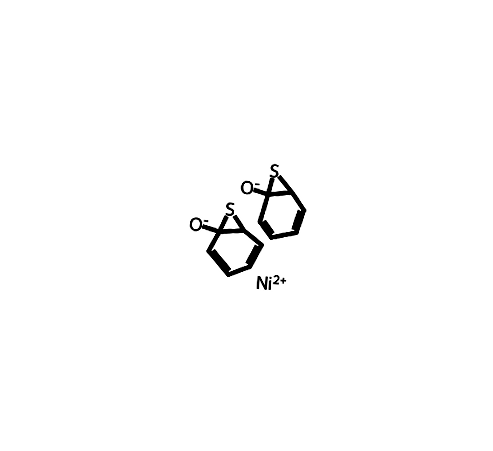 [Ni+2].[O-]C12C=CC=CC1S2.[O-]C12C=CC=CC1S2